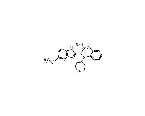 COc1ccc2[nH]c([S+]([O-])C(c3ncccc3Cl)N3CCOCC3)nc2n1.[NaH]